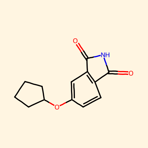 O=C1NC(=O)c2cc(OC3CCCC3)ccc21